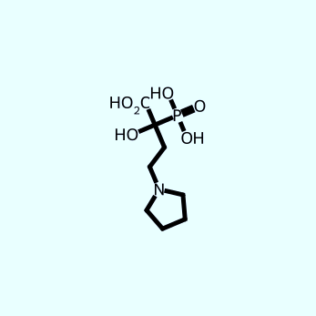 O=C(O)C(O)(CCN1CCCC1)P(=O)(O)O